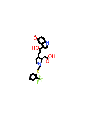 COc1ccc2nccc([C@@H](O)CC[C@@H]3CCN(CCSc4ccccc4C(F)(F)F)C[C@@H]3CC(=O)O)c2c1